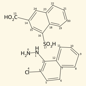 NNc1c(Cl)ccc2ccccc12.O=C(O)c1cc(S(=O)(=O)O)c2ccccc2c1